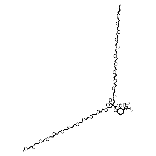 COCCOCCOCCOCCOCCOCCOCCOCCOCCOCCOCCOCCC(CCOCCOCCOCCOCCOCCOCCOCCOCCOCCOCCOCCOC)(C(=O)[O-])C(=O)[O-].N[C@@H]1CCCC[C@H]1N.[Pt+2]